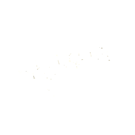 CCCCNCC(=O)N[C@@H](CCC(=O)C(=O)NC)C(=O)Nc1cccn(CC(=O)NC2C(C)CC3CCCN2C3)c1=O